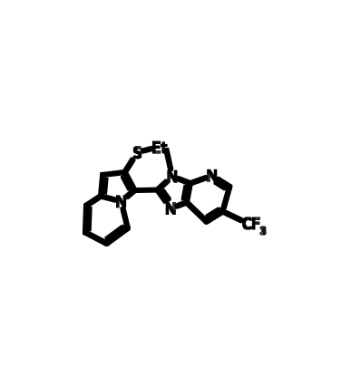 CCSc1cc2ccccn2c1-c1nc2cc(C(F)(F)F)cnc2n1C